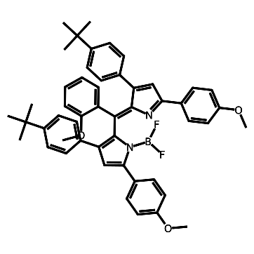 COc1ccc(C2=N/C(=C(/c3ccccc3OC)c3c(-c4ccc(C(C)(C)C)cc4)cc(-c4ccc(OC)cc4)n3B(F)F)C(c3ccc(C(C)(C)C)cc3)=C2)cc1